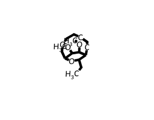 CCC1OC2COCCCCCC1C(OC)C2OC